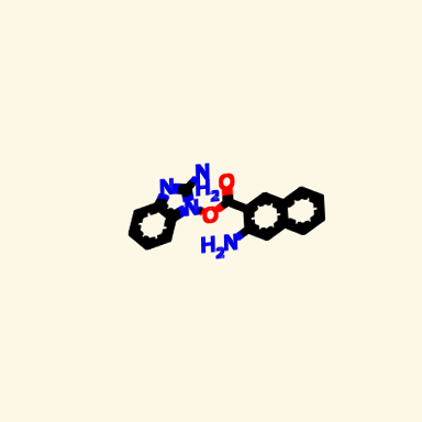 Nc1cc2ccccc2cc1C(=O)On1c(N)nc2ccccc21